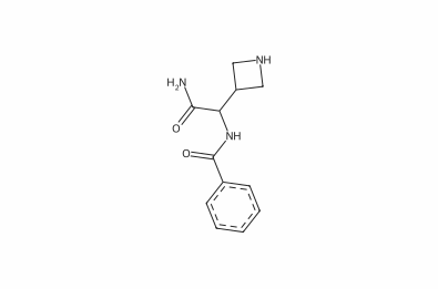 NC(=O)C(NC(=O)c1ccccc1)C1CNC1